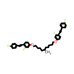 CC(CCCCCOc1ccc(C#Cc2ccc(F)cc2)c(F)c1)CCCCCOc1ccc(C#Cc2ccc(F)cc2)c(F)c1